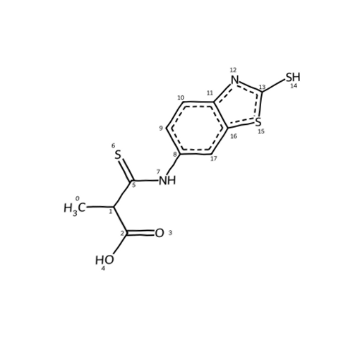 CC(C(=O)O)C(=S)Nc1ccc2nc(S)sc2c1